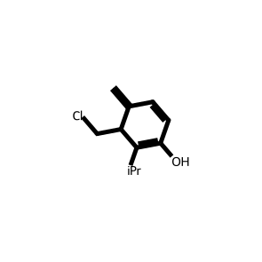 C=C1C=CC(O)=C(C(C)C)C1CCl